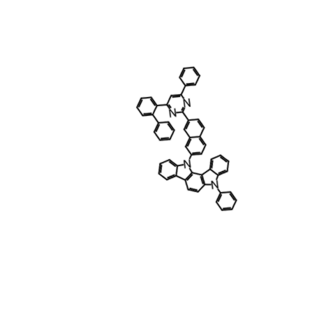 c1ccc(-c2cc(-c3ccccc3-c3ccccc3)nc(-c3ccc4ccc(-n5c6ccccc6c6ccc7c(c8ccccc8n7-c7ccccc7)c65)cc4c3)n2)cc1